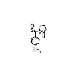 O=S=C(c1ccc(C(F)(F)F)cc1)[C@@H]1CCCN1